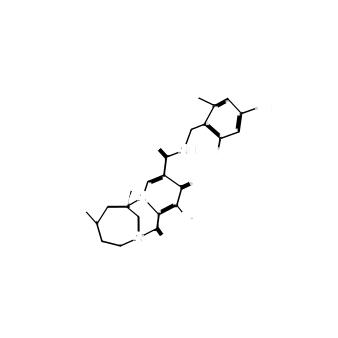 Cc1cc(F)c(CNC(=O)c2cn3c(c(O)c2=O)C(=O)N2CC[C@@](C)(F)C[C@H]3C2)c(F)c1